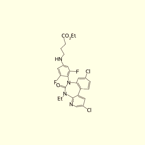 CCOC(=O)CCCNc1cc(F)c(N2C(=O)N(CC)c3ncc(Cl)cc3-c3ccc(Cl)cc32)c(F)c1